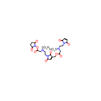 O=C(CN(CCN1C(=O)C=CC1=O)S(=O)(=O)O)OCC1=CC(=O)N(CCN(CC(=O)ON2C(=O)CCC2=O)S(=O)(=O)O)C1=O